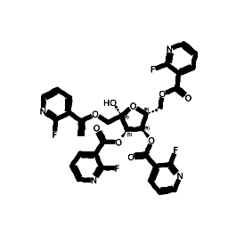 C=C(OC[C@@]1(O)O[C@H](COC(=O)c2cccnc2F)[C@@H](OC(=O)c2cccnc2F)[C@@H]1OC(=O)c1cccnc1F)c1cccnc1F